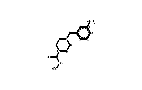 CC(C)(C)OC(=O)N1CCN(Cc2cccc(N)c2)CC1